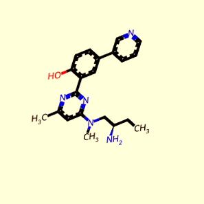 CC[C@@H](N)CN(C)c1cc(C)nc(-c2cc(-c3cccnc3)ccc2O)n1